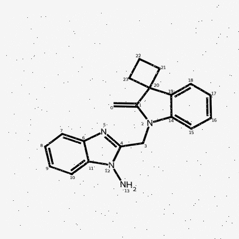 C=C1N(Cc2nc3ccccc3n2N)c2ccccc2C12CCC2